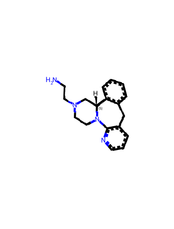 NCCN1CCN2c3ncccc3Cc3ccccc3[C@H]2C1